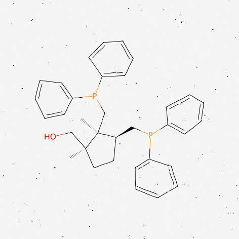 C[C@@]1(CO)CC[C@H](CP(c2ccccc2)c2ccccc2)[C@]1(C)CP(c1ccccc1)c1ccccc1